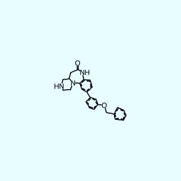 O=C1CC2CNCCN2c2cc(-c3cccc(OCc4ccccc4)c3)ccc2N1